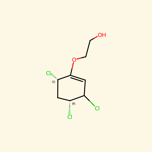 OCCOC1=CC(Cl)[C@H](Cl)C[C@@H]1Cl